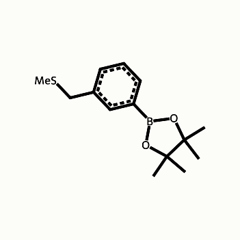 CSCc1cccc(B2OC(C)(C)C(C)(C)O2)c1